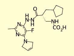 Cc1nc(NNC(=O)[C@@H](CNC(=O)O)CC2CCCC2)c(F)c(N2CC=CC2)n1